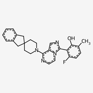 Cc1ccc(F)c(-c2ncc3c(N4CCC5(CC4)Cc4ccccc4C5)nccn23)c1O